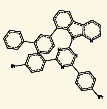 CC(C)c1ccc(-c2nc(-c3ccc(C(C)C)cc3)nc(-n3c4ncccc4c4cccc(-c5cccc(-c6ccccc6)c5)c43)n2)cc1